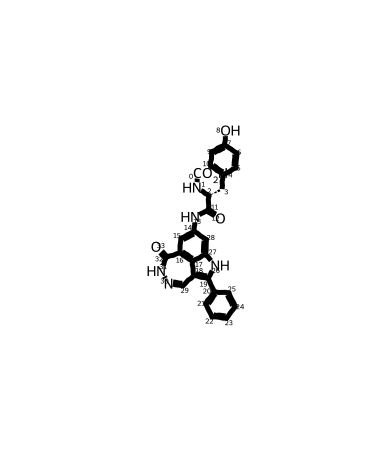 O=C(O)N[C@H](Cc1ccc(O)cc1)C(=O)Nc1cc2c3c(c(-c4ccccc4)[nH]c3c1)C=NNC2=O